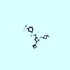 CC1(Cn2nc(C34CC(C3)C4)cc2C(=O)N(c2cccc(S(C)(=N)=O)c2)C(F)(F)F)CC(F)(F)C1